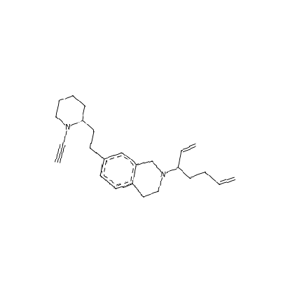 C#CN1CCCCC1CCc1ccc2c(c1)CN(C(C=C)CCC=C)CC2